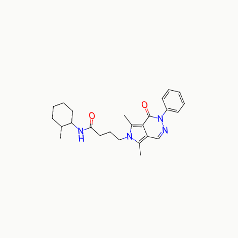 Cc1c2cnn(-c3ccccc3)c(=O)c2c(C)n1CCCC(=O)NC1CCCCC1C